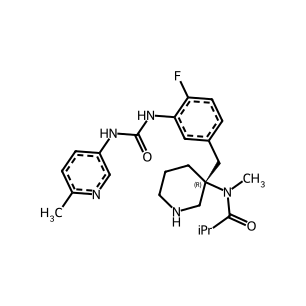 Cc1ccc(NC(=O)Nc2cc(C[C@]3(N(C)C(=O)C(C)C)CCCNC3)ccc2F)cn1